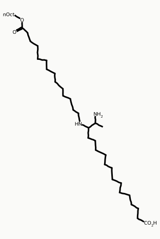 CCCCCCCCOC(=O)CCCCCCCCCCCCCNC(CCCCCCCCCCCCCC(=O)O)C(C)N